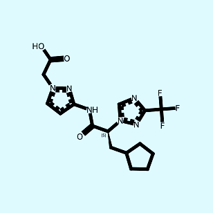 O=C(O)Cn1ccc(NC(=O)[C@H](CC2CCCC2)n2cnc(C(F)(F)F)n2)n1